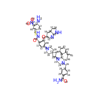 CNc1ccc(SNC(=O)c2ccc(N3CCC4(CC3)CC(N3CCN(Cc5ccc(C(N)=O)cc5)CC3c3ccccc3C(C)C)C4)cc2Oc2cnc3[nH]ccc3c2)cc1[N+](=O)[O-]